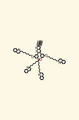 Br.Br.Br.Br.c1ccc2nc(CCCCCCCOc3cc(OCCCCCCCc4ccc5ccccc5n4)cc(-c4cc5cccnc5nc4-c4cc(OCCCCCCCc5ccc6ccccc6n5)cc(OCCCCCCCc5ccc6ccccc6n5)c4)c3)ccc2c1